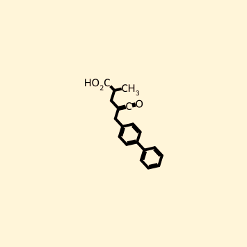 CC(CC(=C=O)Cc1ccc(-c2ccccc2)cc1)C(=O)O